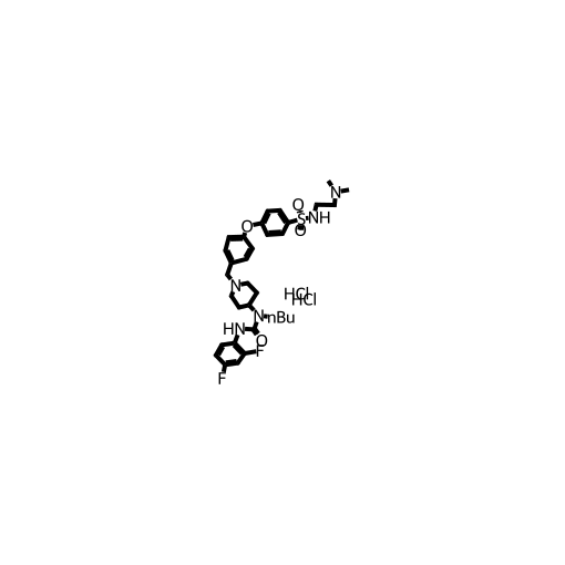 CCCCN(C(=O)Nc1ccc(F)cc1F)C1CCN(Cc2ccc(Oc3ccc(S(=O)(=O)NCCN(C)C)cc3)cc2)CC1.Cl.Cl